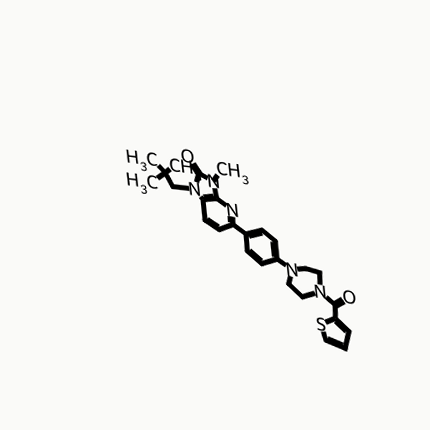 Cn1c(=O)n(CC(C)(C)C)c2ccc(-c3ccc(N4CCN(C(=O)c5cccs5)CC4)cc3)nc21